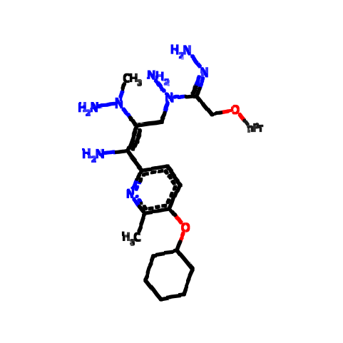 CCCOC/C(=N/N)N(N)C/C(=C(/N)c1ccc(OC2CCCCC2)c(C)n1)N(C)N